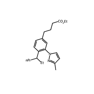 CCCC(CC)c1ccc(CCCC(=O)OCC)cc1-n1ccc(C)n1